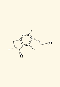 Cc1cc2c(c(C)c1CCO)C(=O)[C@H](C)C2